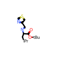 CC(C)CC(/N=C/c1cscn1)C(=O)OC(C)(C)C